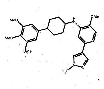 COc1cc(C2CCC(Nc3cc(-c4cnn(C)c4)cnc3OC)CC2)cc(OC)c1OC